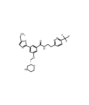 CCc1cnc(-c2cc(OC[C@H]3CNCCO3)cc(C(=O)NCCc3ccc(C(F)(F)F)nn3)c2)s1